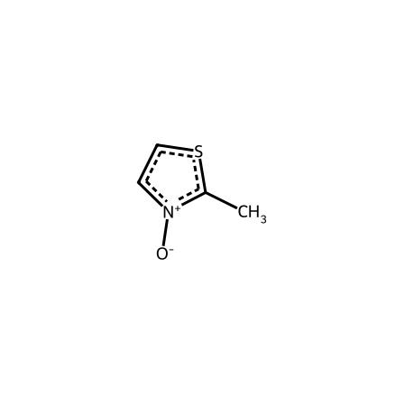 Cc1scc[n+]1[O-]